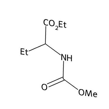 CCOC(=O)C(CC)NC(=O)OC